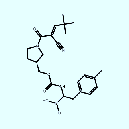 Cc1ccc(C[C@H](NC(=O)OC[C@H]2CCN(C(=O)C(C#N)=CC(C)(C)C)C2)B(O)O)cc1